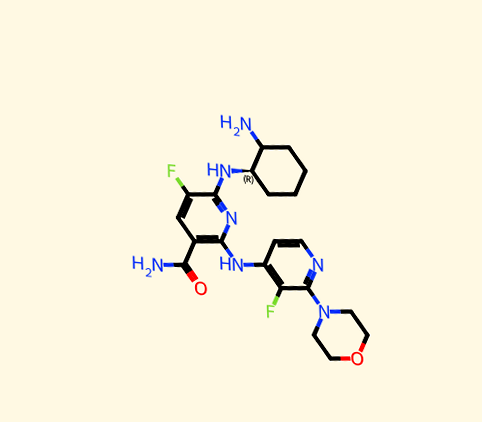 NC(=O)c1cc(F)c(N[C@@H]2CCCCC2N)nc1Nc1ccnc(N2CCOCC2)c1F